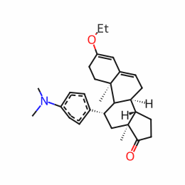 CCOC1=CC2=CC[C@@H]3C([C@@H](c4ccc(N(C)C)cc4)C[C@]4(C)C(=O)CC[C@@H]34)[C@@]2(C)CC1